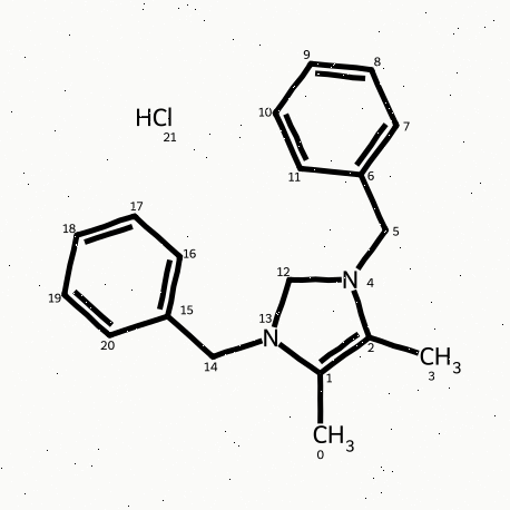 CC1=C(C)N(Cc2ccccc2)CN1Cc1ccccc1.Cl